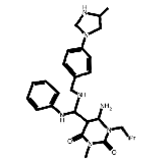 CC(C)CN1C(=O)N(C)C(=O)C(C(NCc2ccc(N3CNC(C)C3)cc2)Nc2ccccc2)C1N